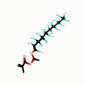 C=C(C)C(=O)OC(C)OC(F)=C(F)C(F)(F)C(F)(F)C(F)(F)C(F)(F)C(F)(F)C(F)(F)C(F)(F)F